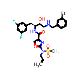 C=CCN(c1nc(C(=O)N[C@@H](Cc2cc(F)cc(F)c2)[C@H](O)CNCc2cccc(CC)c2)co1)S(C)(=O)=O